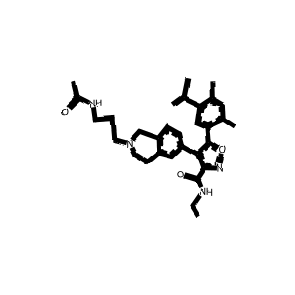 CCNC(=O)c1noc(-c2cc(C(C)C)c(C)cc2C)c1-c1ccc2c(c1)CCN(CCCNC(C)=O)C2